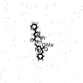 COC(=O)C1(Cc2ccccc2)CC(CNC(=O)c2cc(-c3ccccn3)nn2C(C)C)=NO1